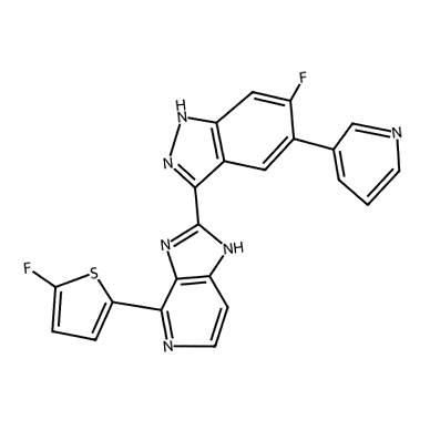 Fc1ccc(-c2nccc3[nH]c(-c4n[nH]c5cc(F)c(-c6cccnc6)cc45)nc23)s1